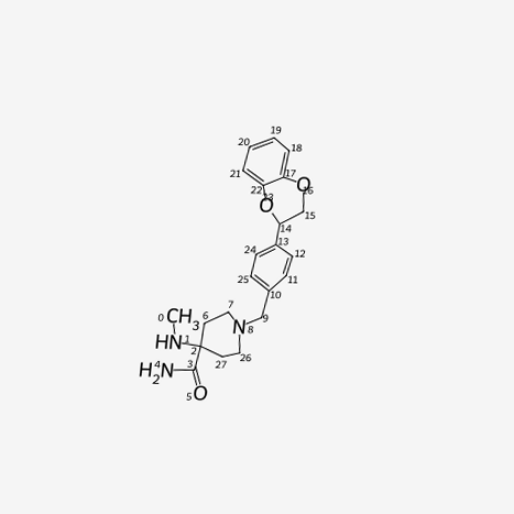 CNC1(C(N)=O)CCN(Cc2ccc(C3COc4ccccc4O3)cc2)CC1